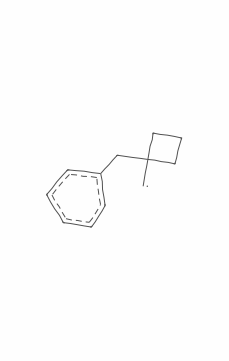 [CH2]C1(Cc2ccccc2)CCC1